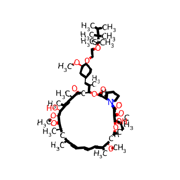 CO[C@H]1C[C@@H]2CC[C@@H](C)[C@@](O)(O2)C(=O)C(=O)N2CCCC[C@H]2C(=O)O[C@H]([C@H](C)C[C@@H]2CC[C@@H](OCCO[Si](C)(C)C(C)(C)C(C)C)[C@H](OC)C2)CC(=O)[C@H](C)/C=C(\C)[C@@H](O)[C@@H](OC)C(=O)[C@H](C)C[C@H](C)/C=C/C=C/C=C/1C